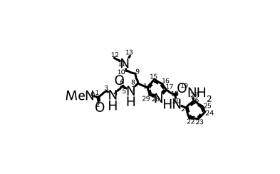 CNC(=O)CNC(=O)NC(CCN(C)C)c1ccc(C(=O)Nc2ccccc2N)nc1